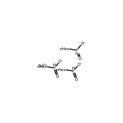 CCCCCC[PH](=O)[O-].CCCCCC[PH](=O)[O-].CCCCCC[PH](=O)[O-].[Nd+3]